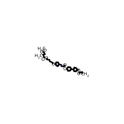 C=CC(=O)Oc1ccc(-c2ccc(OC(=O)/C=C/c3ccc(OCCCCOC(=O)C(=C)CC(=O)OC)cc3)cc2)cc1